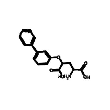 N[C@@H](CC(Oc1cccc(-c2ccccc2)c1)C(=O)O)C(=O)O